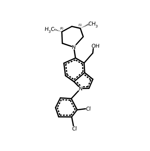 C[C@@H]1C[C@H](C)CN(c2ccc3c(ccn3-c3cccc(Cl)c3Cl)c2CO)C1